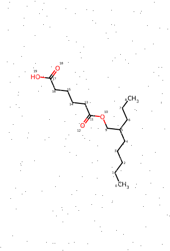 CCCCCC(CCC)COC(=O)CCCCC(=O)O